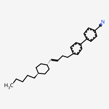 CCCCC[C@H]1CC[C@H](C=CCCc2ccc(-c3ccc(C#N)cc3)cc2)CC1